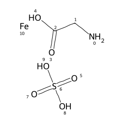 NCC(=O)O.O=S(=O)(O)O.[Fe]